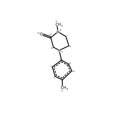 Cc1ccc(N2CCN(C)C(=O)C2)cc1